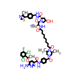 Cc1ncsc1-c1ccc(CNC(=O)[C@@H]2C[C@@H](O)CN2C(=O)C(NC(=O)CCCCCCCCC(=O)N2[C@H](C)CN(C(=O)c3ccc(NC(=O)c4cc(O[C@H](C)c5c(Cl)ccc(F)c5Cl)c(N)nn4)cc3)C[C@@H]2C)C(C)(C)C)cc1